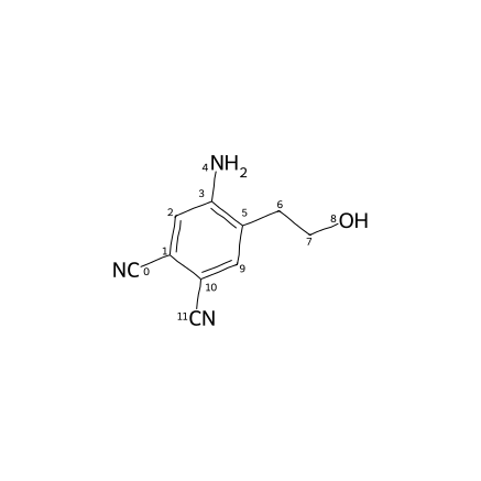 N#Cc1cc(N)c(CCO)cc1C#N